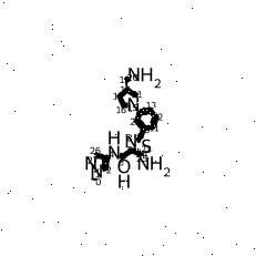 Cn1cc(NC(O)c2nc(-c3cccc(N4CC[C@@H](CN)C4)c3)sc2N)cn1